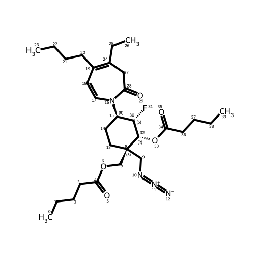 CCCCC(=O)OC[C@@]1(CN=[N+]=[N-])CC[C@@H](N2C=CC(CCCC)=C(CC)CC2=O)[C@H](F)[C@@H]1OC(=O)CCCC